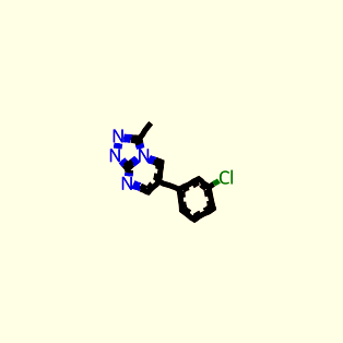 Cc1nnc2ncc(-c3cccc(Cl)c3)cn12